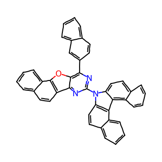 c1ccc2cc(-c3nc(-n4c5ccc6ccccc6c5c5c6ccccc6ccc54)nc4c3oc3c5ccccc5ccc43)ccc2c1